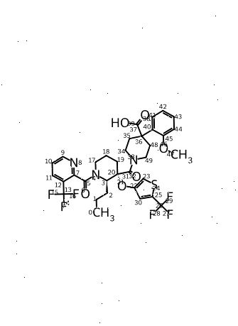 CCC[C@H]1N(C(=O)c2ncccc2C(F)(F)F)CCC[C@@]1(Oc1csc(C(F)(F)F)c1)C(=O)N1CCC(C(=O)O)(c2ccccc2OC)CC1